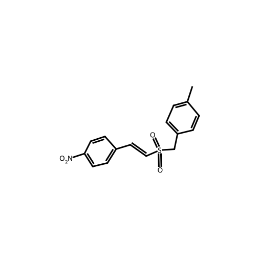 Cc1ccc(CS(=O)(=O)C=Cc2ccc([N+](=O)[O-])cc2)cc1